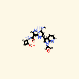 CNc1cc(-c2cn(C3COC3)c3ncccc23)nc2c(C(=O)N[C@@H]3CC[C@@H]3O)cnn12